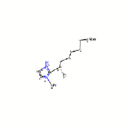 CCCCCCCCCCCCCC[C@H](CC)c1[nH]cc[n+]1CCC